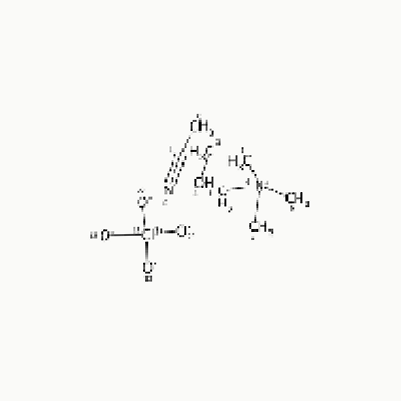 CC#N.CO.C[N+](C)(C)C.[O-][Cl+3]([O-])([O-])[O-]